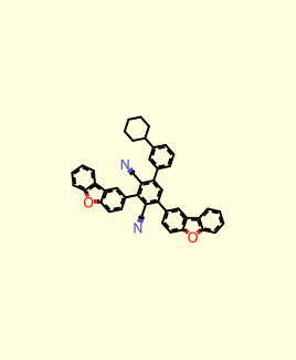 N#Cc1c(-c2cccc(C3CCCCC3)c2)cc(-c2ccc3oc4ccccc4c3c2)c(C#N)c1-c1ccc2oc3ccccc3c2c1